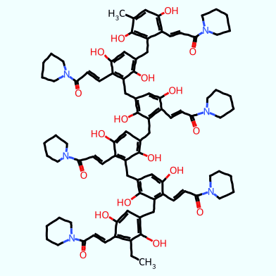 CCc1c(O)c(Cc2c(O)c(Cc3c(O)c(Cc4c(O)c(Cc5c(O)c(Cc6c(O)c(C)cc(O)c6/C=C/C(=O)N6CCCCC6)cc(O)c5/C=C/C(=O)N5CCCCC5)cc(O)c4/C=C/C(=O)N4CCCCC4)cc(O)c3/C=C/C(=O)N3CCCCC3)cc(O)c2/C=C/C(=O)N2CCCCC2)cc(O)c1/C=C/C(=O)N1CCCCC1